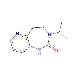 CC(C)N1CCc2ncccc2NC1=O